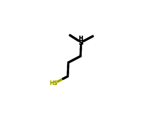 C[SiH](C)CCCS